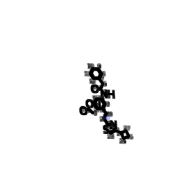 CC(=O)O.O=C(Cc1ccccc1)Nc1cccc(/C=C/c2nc(C3CCC3)cs2)c1